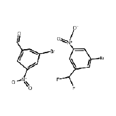 O=Cc1cc(Br)cc([N+](=O)[O-])c1.O=[N+]([O-])c1cc(Br)cc(C(F)F)c1